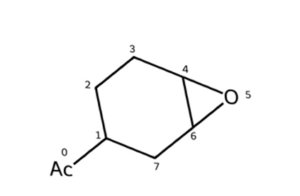 CC(=O)C1CCC2OC2C1